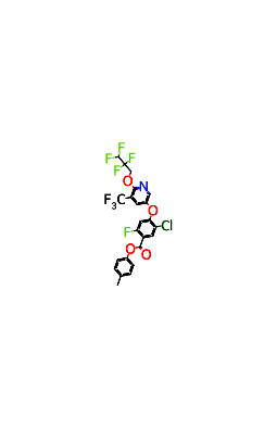 Cc1ccc(OC(=O)c2cc(Cl)c(Oc3cnc(OCC(F)(F)C(F)F)c(C(F)(F)F)c3)cc2F)cc1